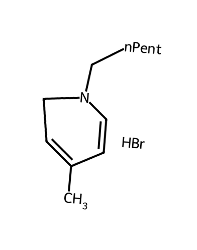 Br.CCCCCCN1C=CC(C)=CC1